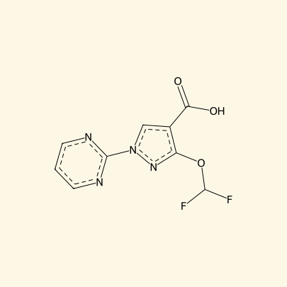 O=C(O)c1cn(-c2ncccn2)nc1OC(F)F